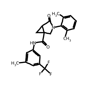 Cc1cc(NC(=O)C23CC2C(=O)N(c2c(C)cccc2C)C3)cc(C(F)(F)F)c1